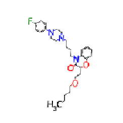 CCCCCOCCC1Oc2ccccc2N(CCCCN2CCN(c3ccc(F)cc3)CC2)C1=O